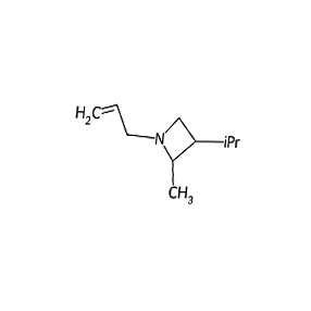 C=CCN1CC(C(C)C)C1C